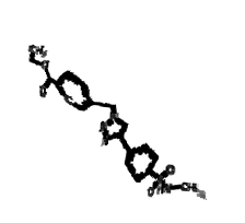 CCOC(=O)c1ccc(Cn2cc(-c3ccc(S(=O)(=O)NC)cc3)nn2)cc1